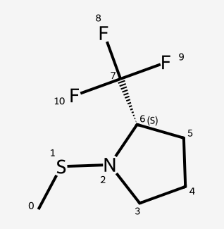 CSN1CCC[C@H]1C(F)(F)F